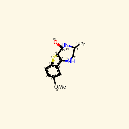 COc1ccc2sc3c(c2c1)NCC(C(C)C)NC3=O